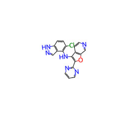 Clc1ccc2[nH]ncc2c1Nc1c(-c2ncccn2)oc2cnccc12